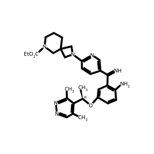 CCOC(=O)N1CCCC2(C1)CN(c1ccc(C(=N)c3cc(O[C@H](C)c4c(C)cnnc4C)ccc3N)cn1)C2